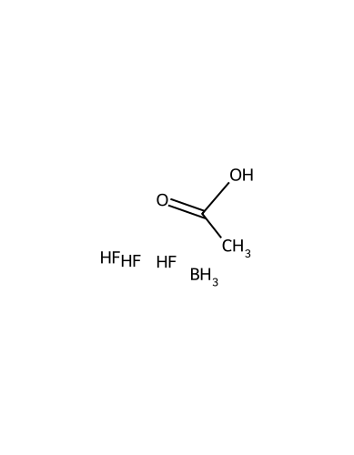 B.CC(=O)O.F.F.F